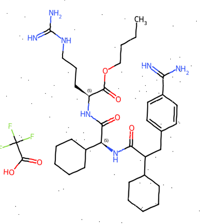 CCCCOC(=O)[C@H](CCCNC(=N)N)NC(=O)[C@@H](NC(=O)C(Cc1ccc(C(=N)N)cc1)C1CCCCC1)C1CCCCC1.O=C(O)C(F)(F)F